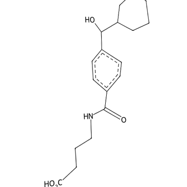 O=C(O)CCCNC(=O)c1ccc(C(O)C2CCCCC2)cc1